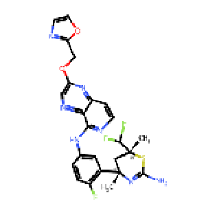 C[C@]1(C(F)F)C[C@@](C)(c2cc(Nc3nccc4nc(OCc5ncco5)cnc34)ccc2F)N=C(N)S1